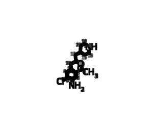 COc1cc(N)c(Cl)cc1CC(=O)CC1CCNCC1